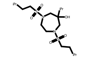 CC(C)CCS(=O)(=O)N1CCN(S(=O)(=O)CCC(C)C)CC(O)(C(C)C)C1